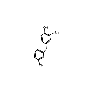 CC(C)(C)c1cc(Cc2cccc(O)c2)ccc1O